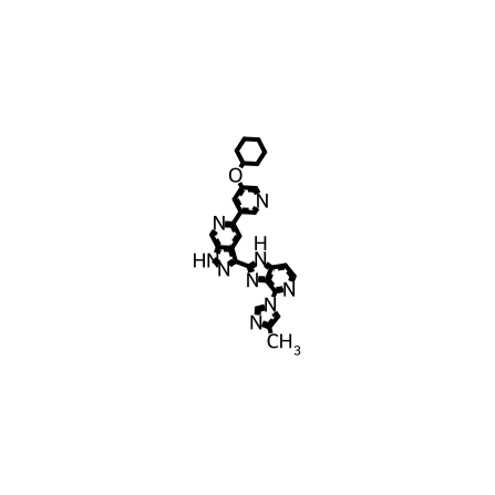 Cc1cn(-c2nccc3[nH]c(-c4n[nH]c5cnc(-c6cncc(OC7CCCCC7)c6)cc45)nc23)cn1